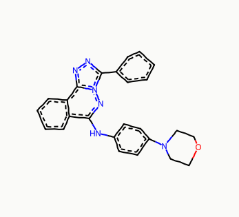 c1ccc(-c2nnc3c4ccccc4c(Nc4ccc(N5CCOCC5)cc4)nn23)cc1